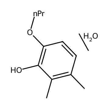 CC.CCCOc1ccc(C)c(C)c1O.O